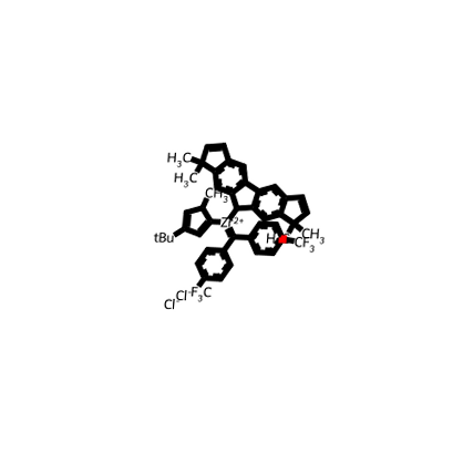 CC1C=C(C(C)(C)C)C=[C]1[Zr+2](=[C](c1ccc(C(F)(F)F)cc1)c1ccc(C(F)(F)F)cc1)[CH]1c2cc3c(cc2-c2cc4c(cc21)C(C)(C)C=C4)C=CC3(C)C.[Cl-].[Cl-]